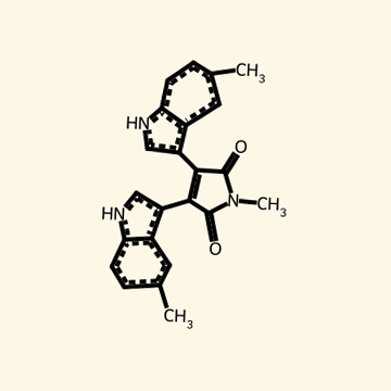 Cc1ccc2[nH]cc(C3=C(c4c[nH]c5ccc(C)cc45)C(=O)N(C)C3=O)c2c1